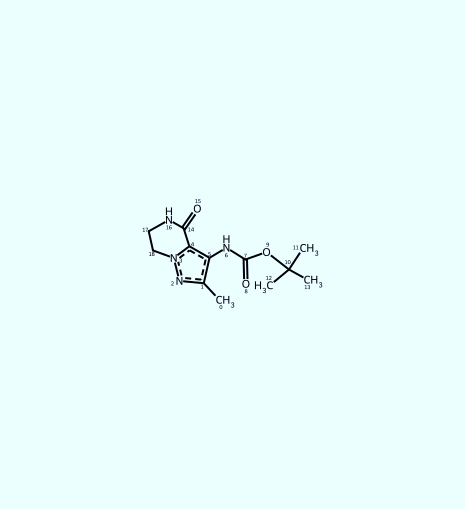 Cc1nn2c(c1NC(=O)OC(C)(C)C)C(=O)NCC2